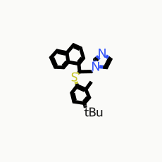 Cc1cc(C(C)(C)C)ccc1SC(Cn1ccnc1)c1cccc2ccccc12